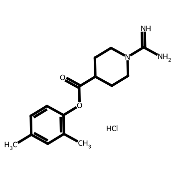 Cc1ccc(OC(=O)C2CCN(C(=N)N)CC2)c(C)c1.Cl